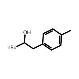 CCCCC(O)Cc1ccc(C)cc1